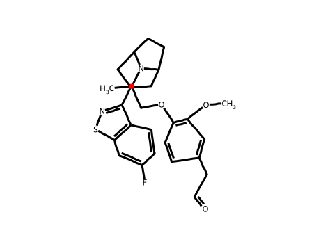 COc1cc(CC=O)ccc1OCC(C)N1C2CCC1CC(c1nsc3cc(F)ccc13)C2